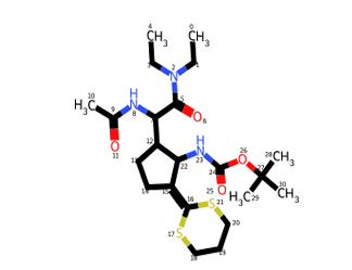 CCN(CC)C(=O)C(NC(C)=O)C1CCC(=C2SCCCS2)C1NC(=O)OC(C)(C)C